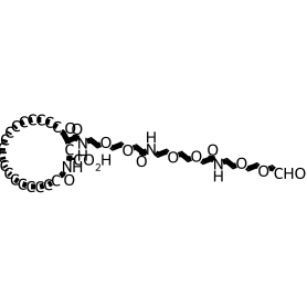 O=[C]COCCOCCNC(=O)COCCOCCNC(=O)COCCOCCNC(=O)C1C[C@@H](C(=O)O)NC(=O)CCCCCCCCCCCCCCCCCCC1=O